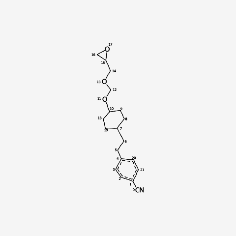 N#Cc1ccc(CCC2CCC(OCOCC3CO3)CC2)cc1